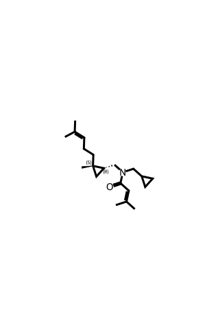 CC(C)=CCC[C@@]1(C)C[C@H]1CN(CC1CC1)C(=O)C=C(C)C